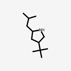 CC(C)CC1CC(C(C)(C)C)CN1